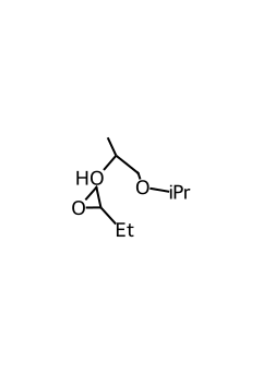 CC(O)COC(C)C.CCC1CO1